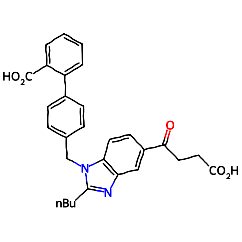 CCCCc1nc2cc(C(=O)CCC(=O)O)ccc2n1Cc1ccc(-c2ccccc2C(=O)O)cc1